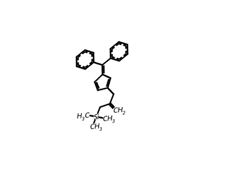 C=C(CC1=CC(=C(c2ccccc2)c2ccccc2)C=C1)C[Si](C)(C)C